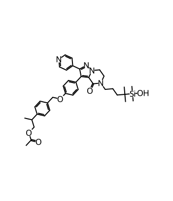 CC(=O)OCC(C)c1ccc(COc2ccc(-c3c(-c4ccncc4)nn4c3C(=O)N(CCCC(C)(C)[Si](C)(C)O)CC4)cc2)cc1